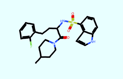 CC1CCN(C(=O)C(CCc2ccccc2F)NS(=O)(=O)c2cccc3[nH]ccc23)CC1